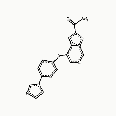 NC(=O)c1cc2c(Oc3ccc(-n4ccnc4)cc3)cncc2s1